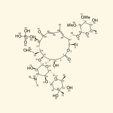 CC[C@H]1OC(=O)C[C@@H](O)[C@H](C)[C@@H](O[C@@H]2O[C@H](C)[C@@H](O[C@H]3C[C@@](C)(O)[C@@H](O)[C@H](C)O3)[C@H](N(C)C)[C@H]2O)[C@@H](CC=O)C[C@@H](C)C(=O)/C=C/C(C)=C/[C@@H]1CO[C@@H]1O[C@H](C)[C@@H](O)[C@@H](OC)[C@H]1OC.O=P(O)(O)O